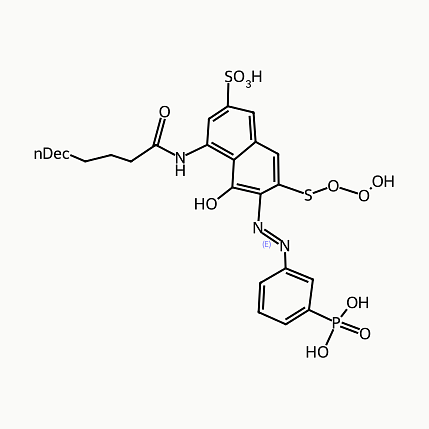 CCCCCCCCCCCCCC(=O)Nc1cc(S(=O)(=O)O)cc2cc(SOOO)c(/N=N/c3cccc(P(=O)(O)O)c3)c(O)c12